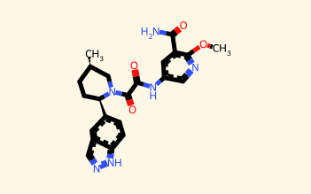 COc1ncc(NC(=O)C(=O)N2C[C@@H](C)CC[C@@H]2c2ccc3[nH]ncc3c2)cc1C(N)=O